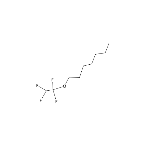 CCCCCCCOC(F)(F)C(F)F